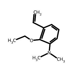 C=Cc1cccc(N(C)C)c1OCC